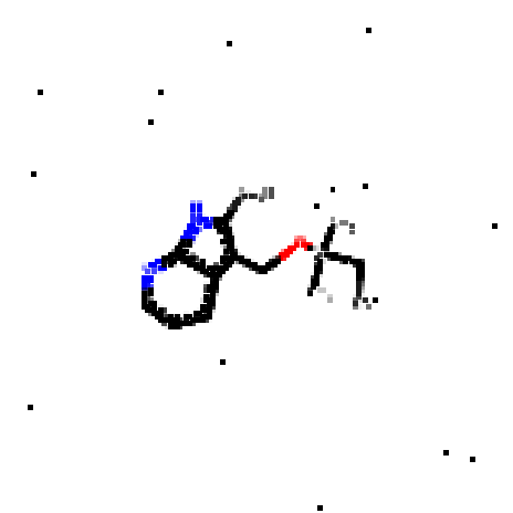 C[Si](C)(CC#N)OCc1c(C(=O)O)[nH]c2ncccc12